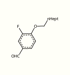 CCCCCCCCOc1ccc(C=O)cc1F